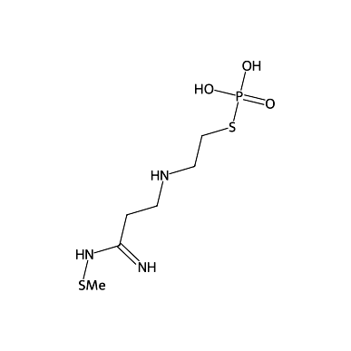 CSNC(=N)CCNCCSP(=O)(O)O